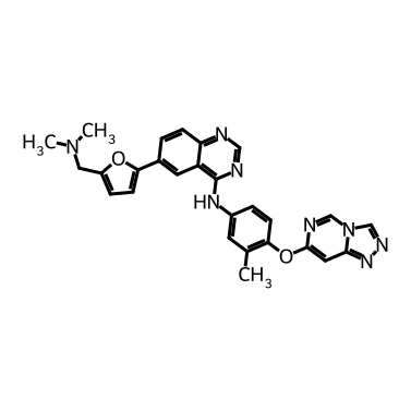 Cc1cc(Nc2ncnc3ccc(-c4ccc(CN(C)C)o4)cc23)ccc1Oc1cc2nncn2cn1